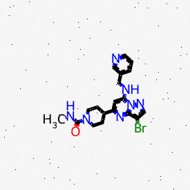 CNC(=O)N1CCC(c2cc(NCc3cccnc3)n3ncc(Br)c3n2)CC1